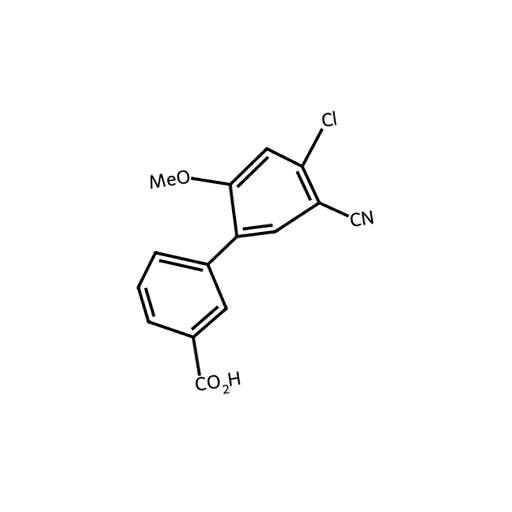 COc1cc(Cl)c(C#N)cc1-c1cccc(C(=O)O)c1